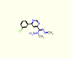 C=N/N=C(/c1cc(-c2cccc(Cl)c2)ncn1)N(C)N